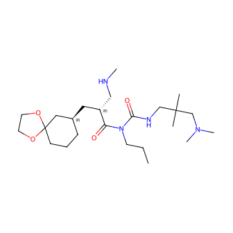 CCCN(C(=O)NCC(C)(C)CN(C)C)C(=O)[C@@H](CNC)C[C@H]1CCCC2(C1)OCCO2